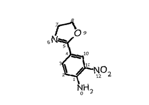 Nc1ccc(C2=NCCO2)cc1[N+](=O)[O-]